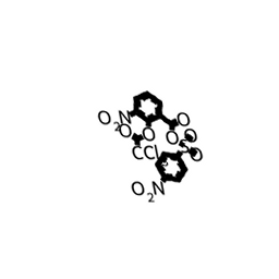 O=C(OS(=O)(=O)c1ccc([N+](=O)[O-])cc1)c1cccc([N+](=O)[O-])c1OC(=O)C(Cl)(Cl)Cl